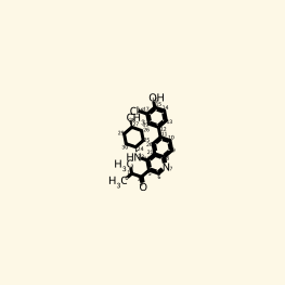 CC(C)C(=O)c1cnc2ccc(-c3ccc(O)c(Cl)c3)cc2c1N[C@H]1CC[C@H](C)CC1